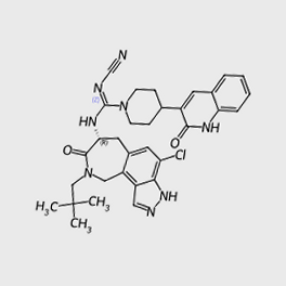 CC(C)(C)CN1Cc2c(cc(Cl)c3[nH]ncc23)C[C@@H](N/C(=N/C#N)N2CCC(c3cc4ccccc4[nH]c3=O)CC2)C1=O